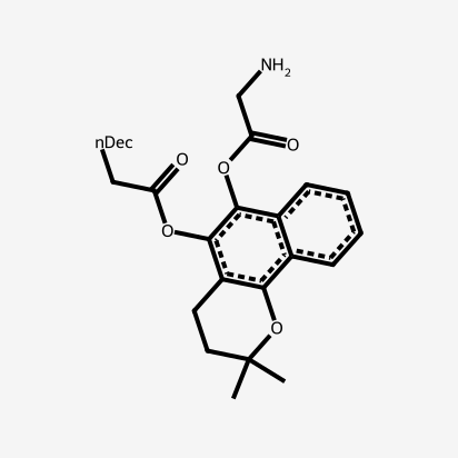 CCCCCCCCCCCC(=O)Oc1c2c(c3ccccc3c1OC(=O)CN)OC(C)(C)CC2